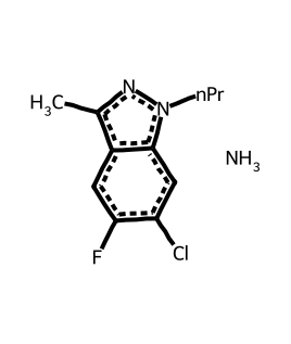 CCCn1nc(C)c2cc(F)c(Cl)cc21.N